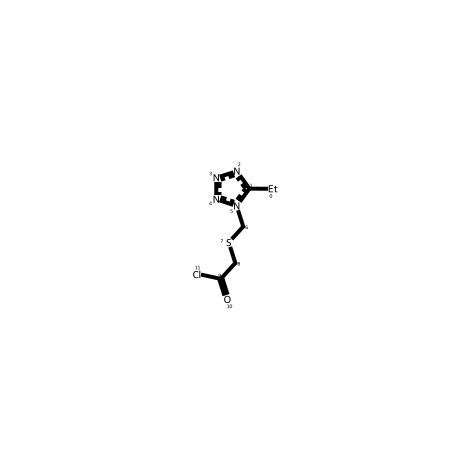 CCc1nnnn1CSCC(=O)Cl